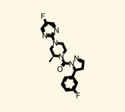 C[C@H]1CN(c2ncc(F)cn2)CCN1C(=O)N1N=CCC1c1cccc(F)c1